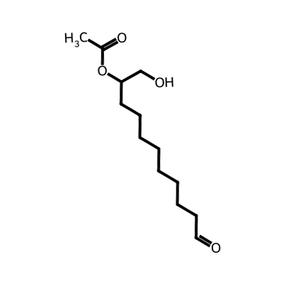 CC(=O)OC(CO)CCCCCCCCC=O